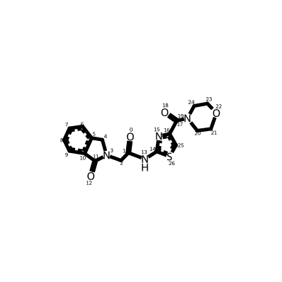 O=C(CN1Cc2ccccc2C1=O)Nc1nc(C(=O)N2CCOCC2)cs1